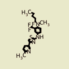 CCCCCN(C)c1ccc(Nc2nc(-c3ccc(C)nc3)cs2)cc1C(F)(F)F